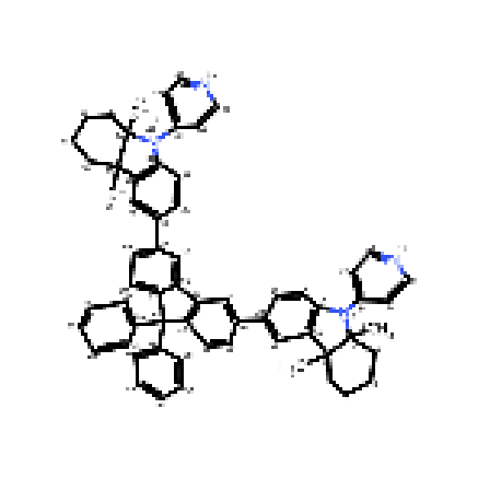 CC12CCCCC1(C)N(c1ccncc1)c1ccc(-c3ccc4c(c3)-c3cc(-c5ccc6c(c5)C5(C)CCCCC5(C)N6c5ccncc5)ccc3C4(c3ccccc3)c3ccccc3)cc12